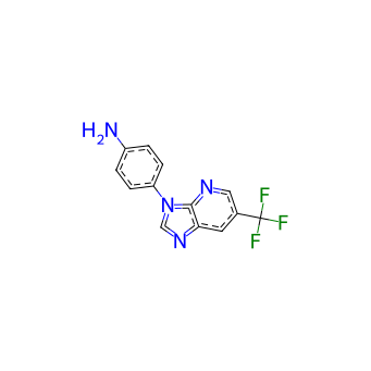 Nc1ccc(-n2cnc3cc(C(F)(F)F)cnc32)cc1